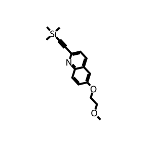 COCCOc1ccc2nc(C#C[Si](C)(C)C)ccc2c1